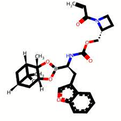 C=CC(=O)N1CC[C@@H]1COC(=O)N[C@@H](Cc1coc2ccccc12)B1O[C@@H]2C[C@@H]3C[C@@H](C3(C)C)[C@]2(C)O1